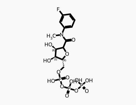 CN(C(=O)C1O[C@H](COP(=O)(O)OP(=O)(O)OP(=O)(O)O)[C@@H](O)[C@H]1O)c1cccc(F)c1